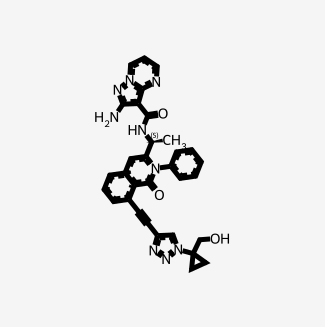 C[C@H](NC(=O)c1c(N)nn2cccnc12)c1cc2cccc(C#Cc3cn(C4(CO)CC4)nn3)c2c(=O)n1-c1ccccc1